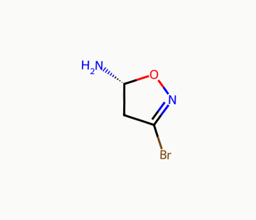 N[C@H]1CC(Br)=NO1